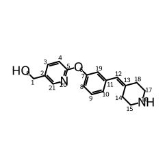 OCc1ccc(Oc2cccc(C=C3CCNCC3)c2)nc1